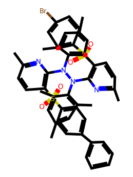 Cc1cc(C)c(N(c2nc(C)ccc2S(=O)(=O)c2ccc(Br)cc2)N(c2nc(C)ccc2S(=O)(=O)c2ccc(-c3ccccc3)cc2)c2c(C)cc(C)cc2C)c(C)c1